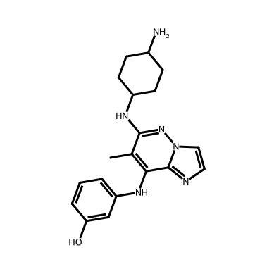 Cc1c(NC2CCC(N)CC2)nn2ccnc2c1Nc1cccc(O)c1